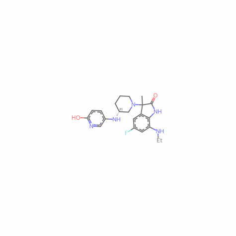 CCNc1cc(F)cc2c1NC(=O)C2(C)N1CCC[C@@H](Nc2ccc(O)nc2)C1